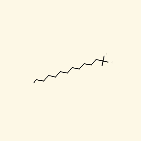 CCCCCCCCCCCCC(C)(C)O